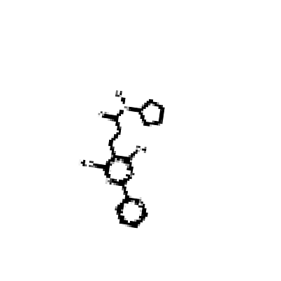 CCN(C(=O)CCc1c(C)nc(-c2ccccn2)nc1O)C1CCCC1